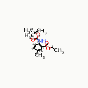 CCOC(=O)c1cc(C)ccc1NC(=O)OC(C)(C)C